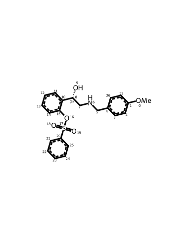 COc1ccc(CNC[C@@H](O)c2ccccc2OS(=O)(=O)c2ccccc2)cc1